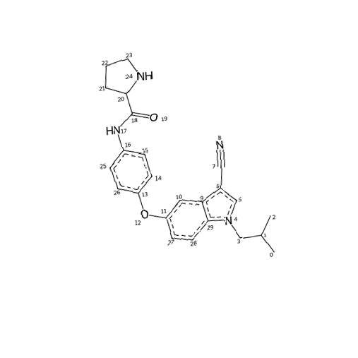 CC(C)Cn1cc(C#N)c2cc(Oc3ccc(NC(=O)C4CCCN4)cc3)ccc21